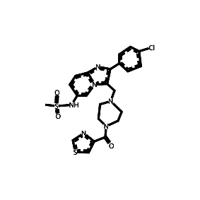 CS(=O)(=O)Nc1ccc2nc(-c3ccc(Cl)cc3)c(CN3CCN(C(=O)c4cscn4)CC3)n2c1